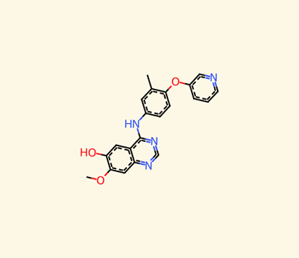 COc1cc2ncnc(Nc3ccc(Oc4cccnc4)c(C)c3)c2cc1O